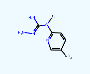 CCN(C(N)=NN)c1ccc([N+](=O)[O-])cn1